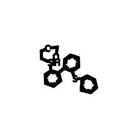 c1ccc(Sc2ccccc2-c2ccccc2[SiH]2CCCCO2)cc1